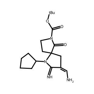 CC(C)(C)OC(=O)N1CCC2(C/C(=C/N)C(=N)N2C2CCCC2)C1=O